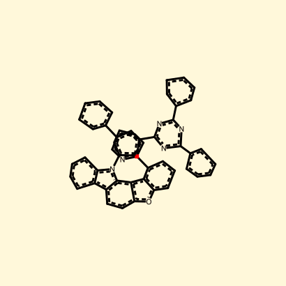 c1ccc(-c2cnc(-c3cccc4oc5ccc6c7ccccc7n(-c7ccccc7)c6c5c34)c(-c3nc(-c4ccccc4)nc(-c4ccccc4)n3)c2)cc1